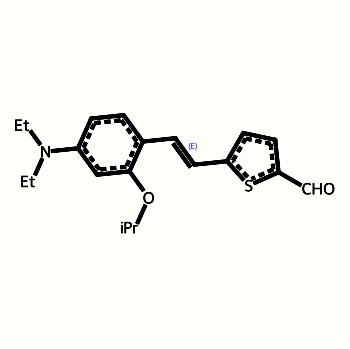 CCN(CC)c1ccc(/C=C/c2ccc(C=O)s2)c(OC(C)C)c1